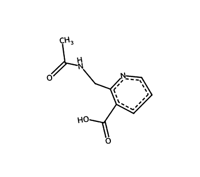 CC(=O)NCc1ncccc1C(=O)O